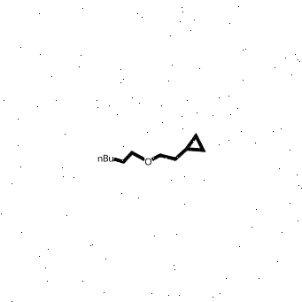 [CH2]CCCCCOCCC1CC1